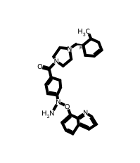 CC1CC=CC[C@H]1CN1CCN(C(=O)C2=CC=C(N(N)Oc3cccc4cccnc34)CC2)CC1